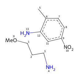 COCCCN.Cc1ccc([N+](=O)[O-])cc1N